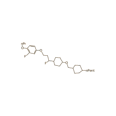 CCCCCC1CCC(COC2CCC(C(F)CCOc3ccc(OCCC)c(F)c3)CC2)CC1